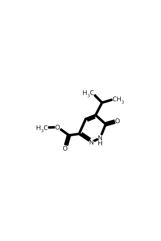 COC(=O)c1cc(C(C)C)c(=O)[nH]n1